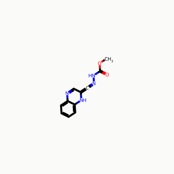 COC(=O)NN=C=C1C=Nc2ccccc2N1